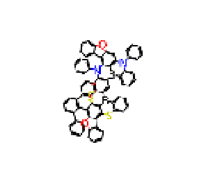 c1ccc(-c2cccc(-c3ccccc3)c2-c2c3c4c(c5c2oc2ccccc25)Sc2ccccc2B4c2cc4c(cc2S3)N(c2ccccc2)c2c3c(cc5oc6ccccc6c25)N(c2ccccc2)c2ccccc2B43)cc1